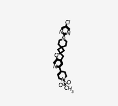 CS(=O)(=O)N1CC=C(c2cc3c(cn2)OC2(C3)CC3(CCN(c4ncc(Cl)cn4)CC3)C2)CC1